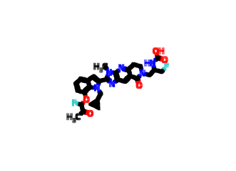 CC(=O)C(F)Oc1cccc2cc(-c3nc4cc5c(nc4n3C)CCN(CC(CF)NC(=O)O)C5=O)n(CC3CC3)c12